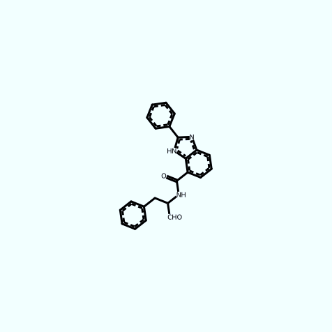 O=CC(Cc1ccccc1)NC(=O)c1cccc2nc(-c3ccccc3)[nH]c12